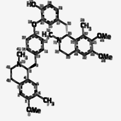 COc1cc2c(cc1C)[C@H](Cc1ccc(Oc3cc(C[C@@H]4c5c(cc(OC)c(OC)c5C)CCN4C)ccc3O)cc1)N(C)CC2